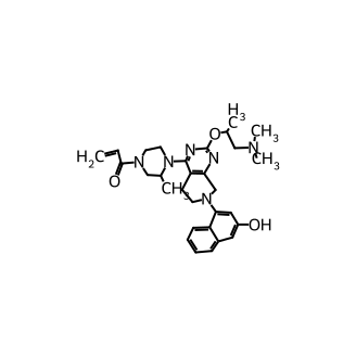 C=CC(=O)N1CCN(c2nc(OC(C)CN(C)C)nc3c2CCN(c2cc(O)cc4ccccc24)C3)C(C)C1